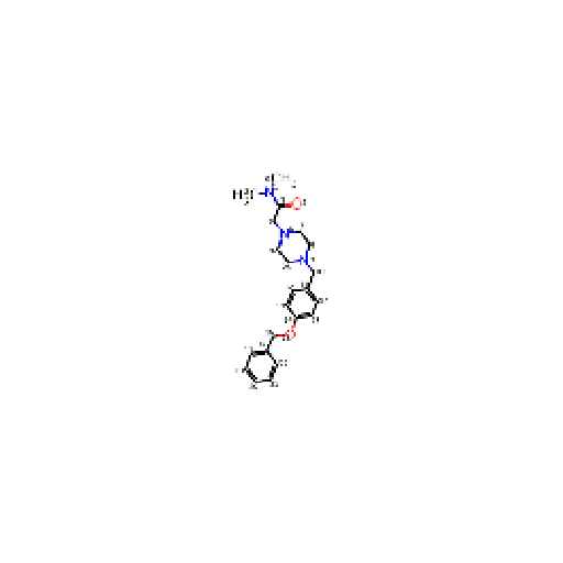 CN(C)C(=O)CN1CCN(Cc2ccc(OCc3ccccc3)cc2)CC1